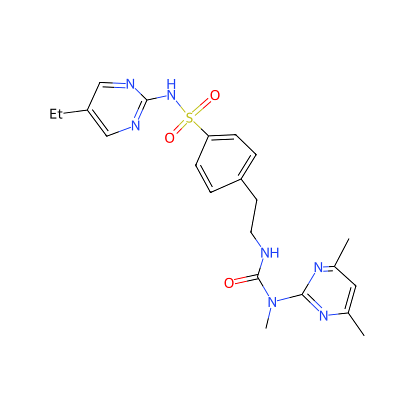 CCc1cnc(NS(=O)(=O)c2ccc(CCNC(=O)N(C)c3nc(C)cc(C)n3)cc2)nc1